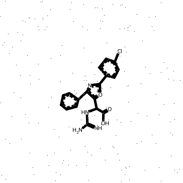 N=C(N)NC(C(=O)O)c1oc(-c2ccc(Cl)cc2)nc1-c1ccccc1